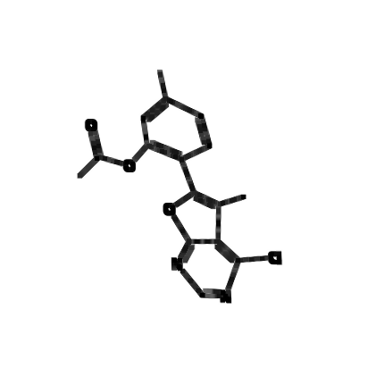 CC(=O)Oc1cc(C)ccc1-c1oc2ncnc(Cl)c2c1C